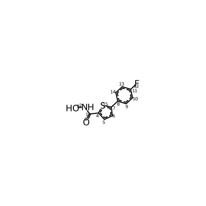 O=C(NO)c1ccc(-c2ccc(F)cc2)s1